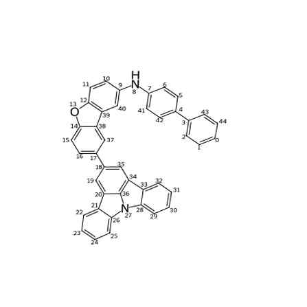 c1ccc(-c2ccc(Nc3ccc4oc5ccc(-c6cc7c8ccccc8n8c9ccccc9c(c6)c78)cc5c4c3)cc2)cc1